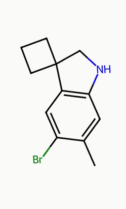 Cc1cc2c(cc1Br)C1(CCC1)CN2